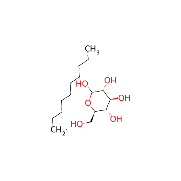 OC[C@H]1OC(O)[C@H](O)[C@@H](O)[C@@H]1O.[CH2]CCCCCCCCC